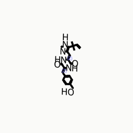 C=CC(C)(C)c1[nH]cnc1/C=c1\[nH]c(=O)/c(=C/c2ccc(CO)cc2)[nH]c1=O